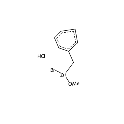 C[O][Zn]([Br])[CH2]c1ccccc1.Cl